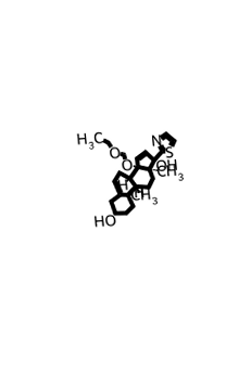 CCOCO[C@]12C=C[C@](O)(c3nccs3)[C@@]1(C)CC[C@H]1[C@H]2CC=C2C[C@@H](O)CC[C@@]21C